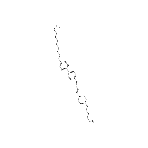 CCCCCCCCCCc1cnc(-c2ccc(OCC=C[C@H]3CC[C@H](CCCCC)CC3)cc2)nc1